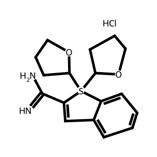 Cl.N=C(N)C1=Cc2ccccc2S1(C1CCCO1)C1CCCO1